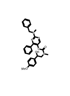 COc1ccc(C(O)CN(C)C(=O)Oc2cnc(N(C)Cc3ccccc3)nc2-c2ccccc2)cc1